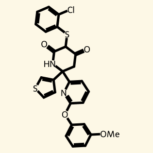 COc1cccc(Oc2cccc(C3(c4ccsc4)CC(=O)C(Sc4ccccc4Cl)C(=O)N3)n2)c1